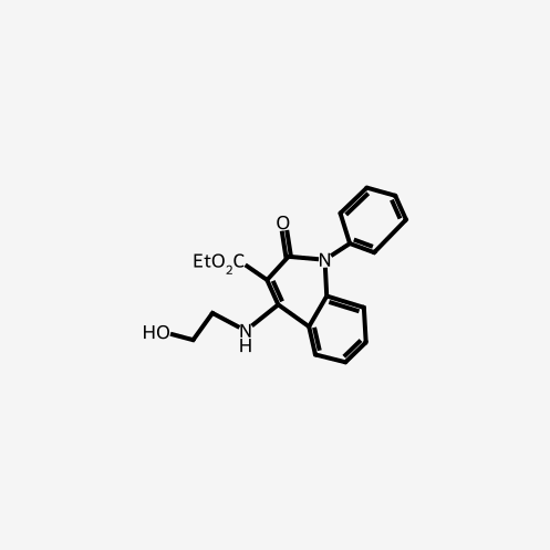 CCOC(=O)c1c(NCCO)c2ccccc2n(-c2ccccc2)c1=O